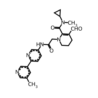 Cc1cncc(-c2ccc(NC(=O)CN3CCCC(C=O)=C3C(=O)N(C)C3CC3)cn2)c1